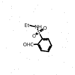 CCNS(=O)(=O)c1ccccc1C=O